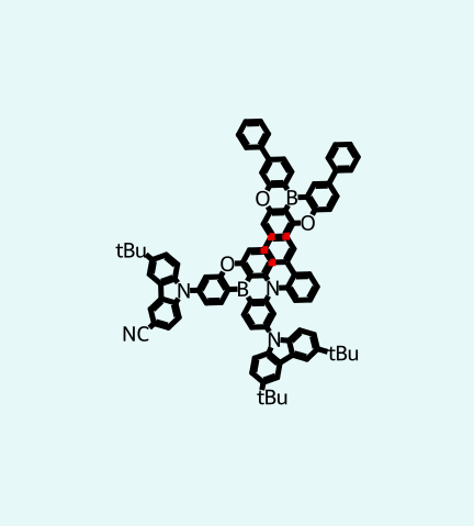 CC(C)(C)c1ccc2c(c1)c1cc(C#N)ccc1n2-c1ccc2c(c1)Oc1cc(-c3cc4c5c(c3)Oc3ccc(-c6ccccc6)cc3B5c3ccc(-c5ccccc5)cc3O4)cc3c1B2c1ccc(-n2c4ccc(C(C)(C)C)cc4c4cc(C(C)(C)C)ccc42)cc1N3c1ccccc1-c1ccccc1